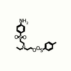 CCN(CCOOSc1ccc(C)cc1)CCS(=O)(=O)c1ccc(N)cc1